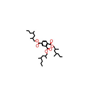 CCCC(C)CC(C)COC(=O)c1ccc(C(=O)OCC(C)CC(C)CCC)c(C(=O)OCC(C)CC(C)CCC)c1